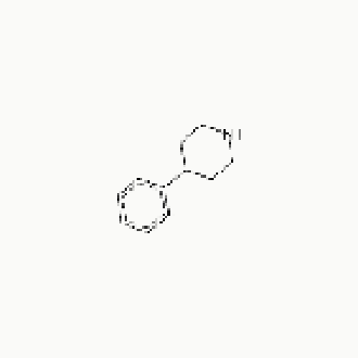 [c]1ccccc1C1CCNCC1